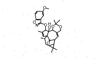 COc1ccc2onc(OC3C(C)=CC45C(=O)C(C=C6COC(C)(C)OC6C34O)C3C(C[C@H]5C)C3(C)C)c2c1